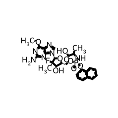 COc1nc(N)nc2c1ncn2[C@@H]1O[C@H](COP(=O)(NC(C)C(=O)O)Oc2cccc3ccccc23)[C@@H](O)[C@@]1(C)F